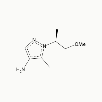 COC[C@H](C)n1ncc(N)c1C